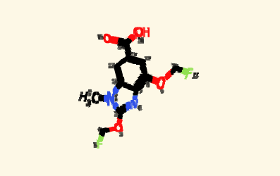 Cn1c(OCF)nc2c(OCF)cc(C(=O)O)cc21